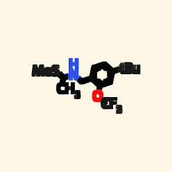 CSC(C)NCc1ccc(C(C)(C)C)cc1OC(F)(F)F